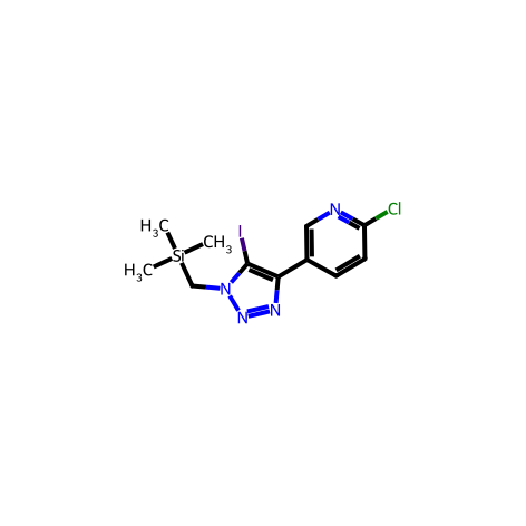 C[Si](C)(C)Cn1nnc(-c2ccc(Cl)nc2)c1I